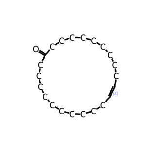 O=C1CCCCCCCCC/C=C\CCCCCCCCCC1